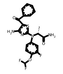 C[C@H](C(N)=O)N(c1ccc(OC(F)F)c(F)c1)c1nc(N)c(C(=O)c2ccccc2)s1